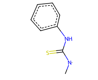 C[N]C(=S)Nc1ccccc1